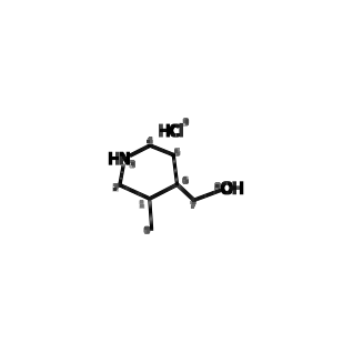 CC1CNCCC1CO.Cl